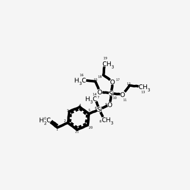 C=Cc1ccc([Si](C)(C)O[Si](OCC)(OCC)OCC)cc1